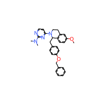 COc1ccc2c(c1)CCN(c1ccnc(N(C)C)n1)C2Cc1ccc(OCc2ccccc2)cc1